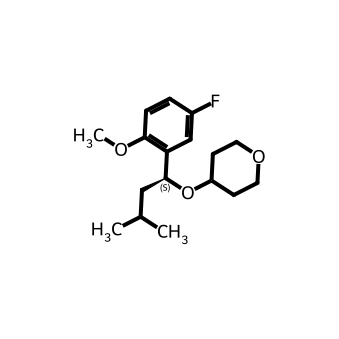 COc1ccc(F)cc1[C@H](CC(C)C)OC1CCOCC1